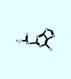 CC(=O)Nc1nc(Cl)c2c(n1)[N]C=N2